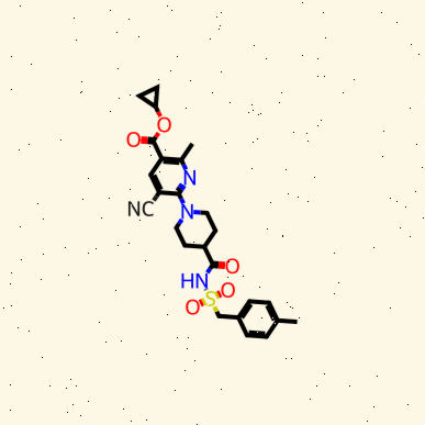 Cc1ccc(CS(=O)(=O)NC(=O)C2CCN(c3nc(C)c(C(=O)OC4CC4)cc3C#N)CC2)cc1